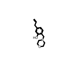 C=CCc1ccc(CN2CCOCC2)c(O)c1